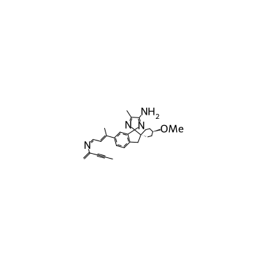 C=C(C#CC)/N=C\C=C(/C)c1ccc2c(c1)C1(N=C(C)C(N)=N1)[C@]1(CC[C@H](OC)CC1)C2